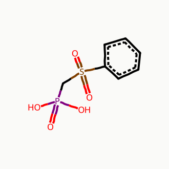 O=P(O)(O)CS(=O)(=O)c1ccccc1